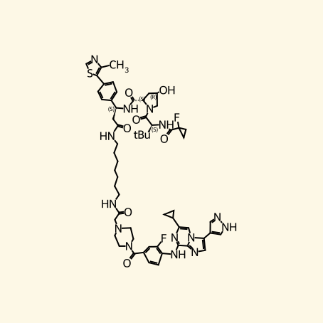 Cc1ncsc1-c1ccc([C@H](CC(=O)NCCCCCCCNC(=O)CN2CCN(C(=O)c3ccc(Nc4nc(C5CC5)cn5c(-c6cn[nH]c6)cnc45)c(F)c3)CC2)NC(=O)[C@@H]2C[C@@H](O)CN2C(=O)[C@@H](NC(=O)C2(F)CC2)C(C)(C)C)cc1